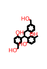 Cc1ccc(O)c(C(Cc2cc(CO)ccc2O)c2cc(CO)ccc2O)c1